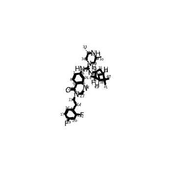 C[C@@H]1[C@@H](N=C(Nc2ccc3c(=O)n(CCc4ccc(F)cc4F)cnc3c2)N2C[C@H](C)N[C@@H](C)C2)C[C@H]2C[C@@H]1C2(C)C